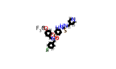 O=S(=O)(c1ccc(NC(=S)NCc2ccncc2)cc1)N(Cc1ccc(F)cc1)Cc1ccc(OC(F)(F)F)cc1